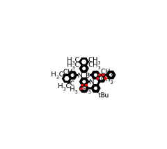 Cc1cc2c3c(c1)N(c1c(-c4ccccc4)cc(C(C)(C)C)cc1-c1ccccc1)c1cc(C(C)(C)c4ccccc4)ccc1B3c1cc3c(cc1N2c1ccc2c(c1)C(C)(C)CCC2(C)C)C(C)(C)CCC3(C)C